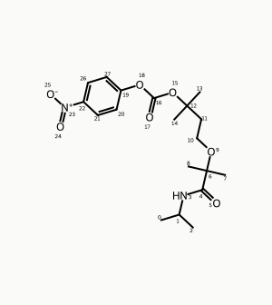 CC(C)NC(=O)C(C)(C)OCCC(C)(C)OC(=O)Oc1ccc([N+](=O)[O-])cc1